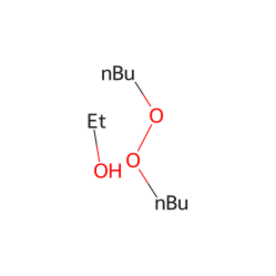 CCCCOOCCCC.CCO